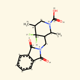 CC1C(CN2C(=O)c3ccccc3C2=O)C(F)(F)C(C)CN1C(=O)O